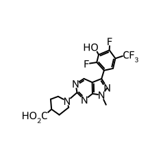 Cn1nc(-c2cc(C(F)(F)F)c(F)c(O)c2F)c2cnc(N3CCC(C(=O)O)CC3)nc21